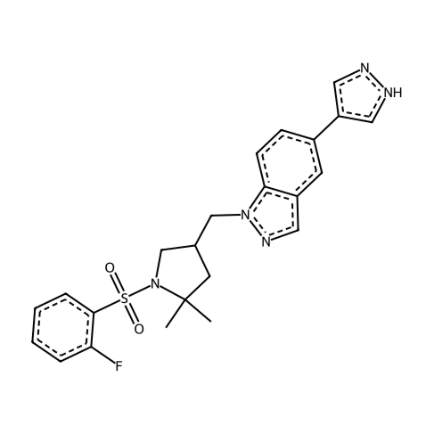 CC1(C)CC(Cn2ncc3cc(-c4cn[nH]c4)ccc32)CN1S(=O)(=O)c1ccccc1F